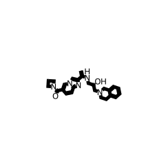 C=C(NC[C@H](O)CN1CCc2ccccc2C1)c1cn2cc(C(=O)N3CCC3)ccc2n1